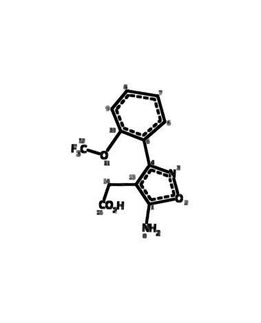 Nc1onc(-c2ccccc2OC(F)(F)F)c1CC(=O)O